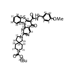 COc1ccc(CNC(=O)c2c(=O)c3cnc(N4CCC5(CCN(C(=O)OC(C)(C)C)CC5)C4)nc3n3c2sc2ccccc23)cc1